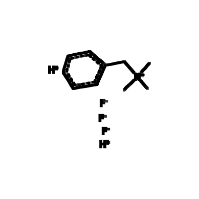 C[N+](C)(C)Cc1ccccc1.[F-].[F-].[F-].[H+].[H+]